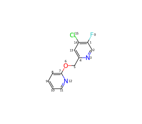 Fc1cnc(COc2ccccn2)cc1Cl